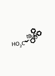 CC(C)(C)[Si](O[C@@H]1CCC[C@H](CC=CC(=O)O)C1)(c1ccccc1)c1ccccc1